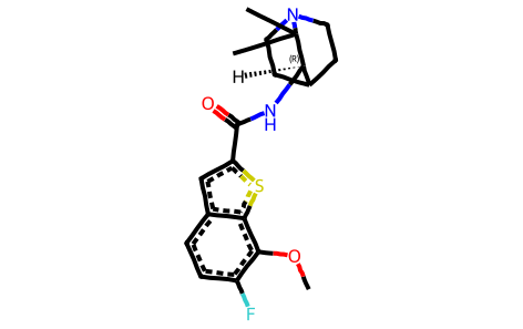 COc1c(F)ccc2cc(C(=O)N[C@@H]3C4CCN(CC4)C3(C)C)sc12